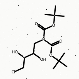 CC(C)(C)OC(=O)N(CC(O)C(O)CCl)C(=O)OC(C)(C)C